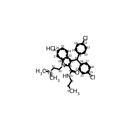 CCCNC(=O)c1c(C(c2ccc(Cl)cc2)c2ccc(Cl)cc2)c2ccccc2n1CCN(C)C.Cl